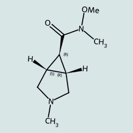 CON(C)C(=O)[C@H]1[C@@H]2CN(C)C[C@@H]21